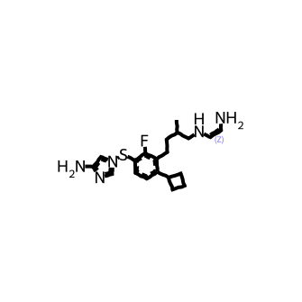 CC(CCc1c(C2CCC2)ccc(Sn2cnc(N)c2)c1F)CN/C=C\N